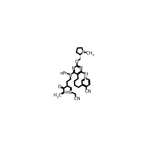 C=CC(=O)C(/C=[SiH]/CC#N)CCN(CCC)c1nc(OC[C@@H]2CCCN2C)nc(CC)c1CCCCc1cnccc1C#N